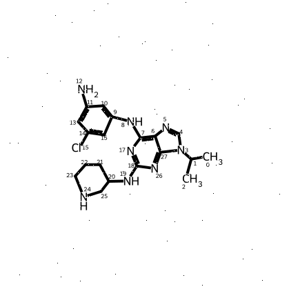 CC(C)n1cnc2c(Nc3cc(N)cc(Cl)c3)nc(NC3CCCNC3)nc21